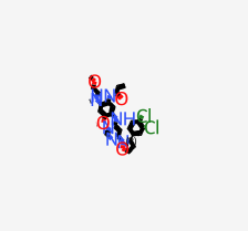 C=CC(=O)Nc1cc(Nc2cc(N3OCC[C@@H]3c3ccc(Cl)c(Cl)c3)ncn2)c(OC)cc1N(C)CCOC